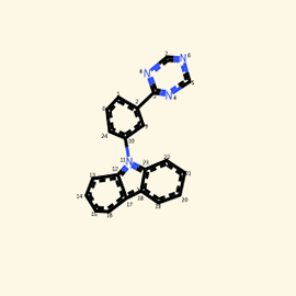 c1cc(-c2ncncn2)cc(-n2c3ccccc3c3ccccc32)c1